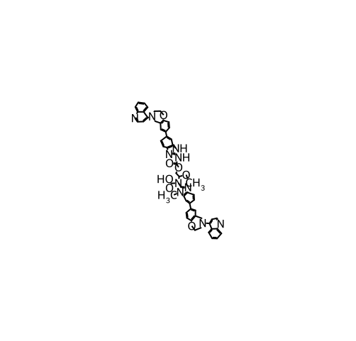 COC(COC(=O)Nc1nc2ccc(-c3ccc4c(c3)CN(c3ccnc5ccccc35)CCO4)cc2[nH]1)N(C(=O)O)c1nc2ccc(-c3ccc4c(c3)CN(c3ccnc5ccccc35)CCO4)cc2n1C